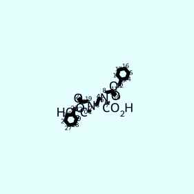 O=C(O)CN(CCN(CC(=O)O)CC(=O)OCC1CCCCC1)CC(=O)OCC1CCCCC1